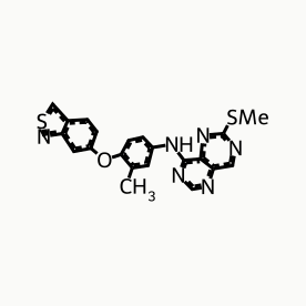 CSc1ncc2ncnc(Nc3ccc(Oc4ccc5csnc5c4)c(C)c3)c2n1